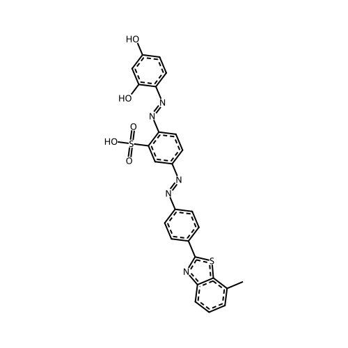 Cc1cccc2nc(-c3ccc(N=Nc4ccc(N=Nc5ccc(O)cc5O)c(S(=O)(=O)O)c4)cc3)sc12